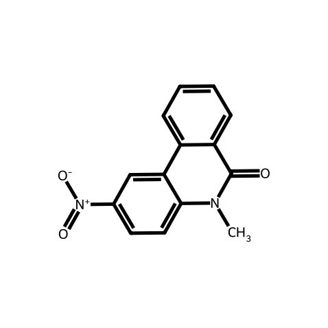 Cn1c(=O)c2ccccc2c2cc([N+](=O)[O-])ccc21